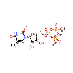 O=c1[nH]c(=O)n([C@@H]2O[C@H](COP3(=O)OP(=O)(O)OP(=O)(O)O3)C(O)[C@@H]2O)cc1C(F)(F)F